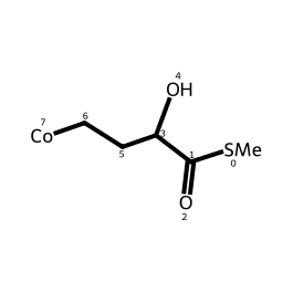 CSC(=O)C(O)C[CH2][Co]